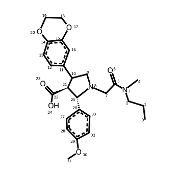 CCCN(C)C(=O)CN1CC(c2ccc3c(c2)OCCO3)[C@H](C(=O)O)[C@H]1c1ccc(OC)cc1